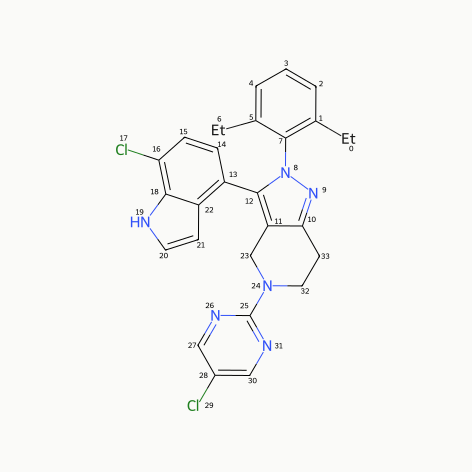 CCc1cccc(CC)c1-n1nc2c(c1-c1ccc(Cl)c3[nH]ccc13)CN(c1ncc(Cl)cn1)CC2